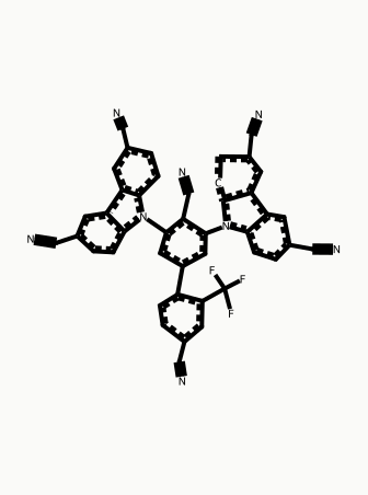 N#Cc1ccc(-c2cc(-n3c4ccc(C#N)cc4c4cc(C#N)ccc43)c(C#N)c(-n3c4ccc(C#N)cc4c4cc(C#N)ccc43)c2)c(C(F)(F)F)c1